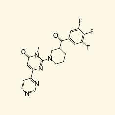 Cn1c(N2CCCC(C(=O)c3cc(F)c(F)c(F)c3)C2)nc(-c2ccncn2)cc1=O